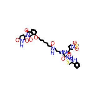 CS(=O)(=O)N1CCC(C(=O)N[C@@H](CCCCNC(=O)CCCCCCOc2cccc3c2C(=O)N(C2CCC(=O)NC2=O)C3=O)C(=O)NC2NC(c3ccccc3)CS2)C1